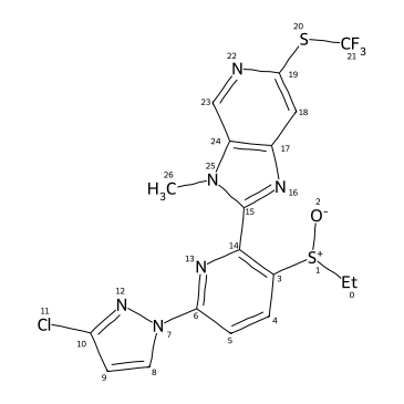 CC[S+]([O-])c1ccc(-n2ccc(Cl)n2)nc1-c1nc2cc(SC(F)(F)F)ncc2n1C